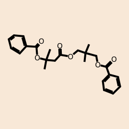 CC(C)(COC(=O)CC(C)(C)OC(=O)c1ccccc1)COC(=O)c1ccccc1